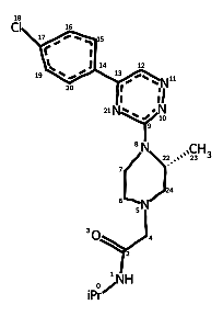 CC(C)NC(=O)CN1CCN(c2nncc(-c3ccc(Cl)cc3)n2)[C@H](C)C1